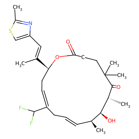 C/C(=C\c1csc(C)n1)[C@@H]1C/C=C(/C(F)F)C/C=C/[C@H](C)[C@H](O)[C@@H](C)C(=O)C(C)(C)CCC(=O)O1